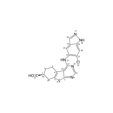 O=C(O)[C@H]1CCc2c(sc3ncnc(Nc4cc5cn[nH]c5cc4Cl)c23)C1